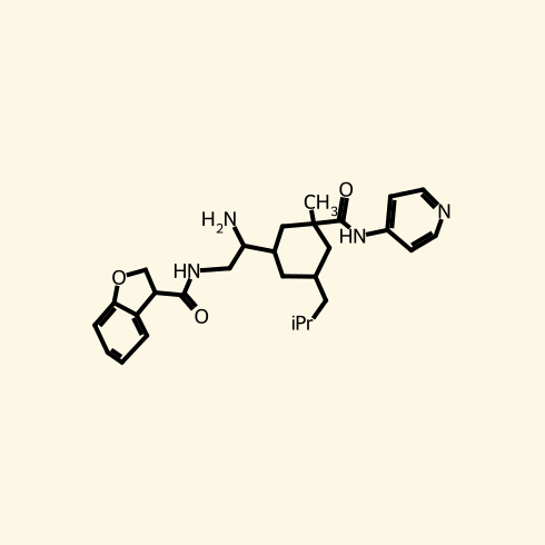 CC(C)CC1CC(C(N)CNC(=O)C2COc3ccccc32)CC(C)(C(=O)Nc2ccncc2)C1